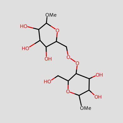 COC1OC(COOC2C(CO)OC(OC)C(O)C2O)C(O)C(O)C1O